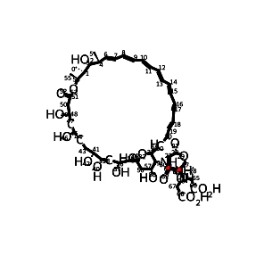 C[C@@H]1[C@H](O)[C@@H](C)/C=C/C=C/C=C/C=C/C=C/C=C/C=C/[C@H](O[C@H]2CC[C@H](O)[C@@H](C)O2)C[C@@H]2O[C@](O)(C[C@@H](O)C[C@@H](O)[C@H](O)CC[C@@H](O)C[C@@H](O)CC(=O)O[C@H]1C)C[C@H](O)[C@H]2NC(=O)NN(CC(=O)O)CC(=O)O